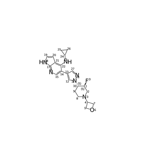 F[C@H]1CN(C2COC2)CC[C@@H]1n1cc(-c2cnc3[nH]ccc3c2NC2CC2)cn1